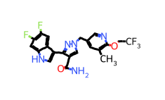 Cc1cc(Cn2cc(C(N)=O)c(-c3c[nH]c4cc(F)c(F)cc34)n2)cnc1OCC(F)(F)F